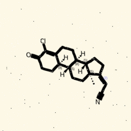 C[C@]12CC[C@H]3[C@@H](CCC4=C(Cl)C(=O)CC[C@@H]43)[C@@H]1CC/C2=C/C#N